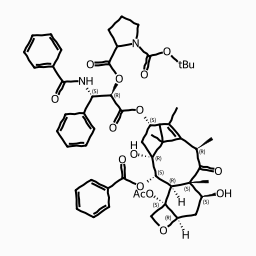 CC(=O)O[C@@]12CO[C@@H]1C[C@H](O)[C@@]1(C)C(=O)[C@H](C)C3=C(C)[C@@H](OC(=O)[C@H](OC(=O)C4CCCN4C(=O)OC(C)(C)C)[C@@H](NC(=O)c4ccccc4)c4ccccc4)C[C@](O)([C@@H](OC(=O)c4ccccc4)[C@H]21)C3(C)C